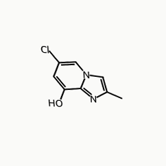 Cc1cn2cc(Cl)cc(O)c2n1